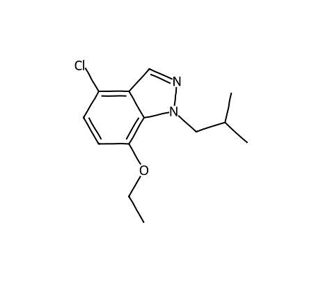 CCOc1ccc(Cl)c2cnn(CC(C)C)c12